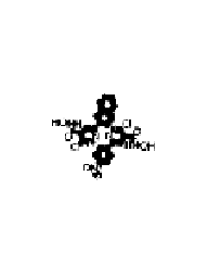 O=C(NO)c1cc(-c2ccc([N+](=O)[O-])cc2)nnc1Cl.O=C(NO)c1cc(-c2ccc3ccccc3c2)nnc1Cl